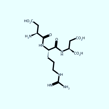 N=C(N)NCCC[C@H](NC(=O)[C@@H](N)CC(=O)O)C(=O)N[C@@H](CC(=O)O)C(=O)O